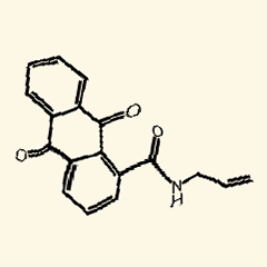 C=CCNC(=O)c1cccc2c1C(=O)c1ccccc1C2=O